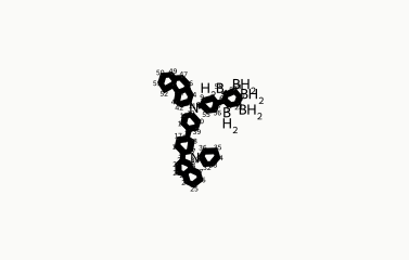 Bc1c(B)c(B)c(-c2ccc(N(c3ccc(-c4ccc5c6ccc7ccccc7c6n(-c6ccccc6)c5c4)cc3)c3ccc4c(ccc5ccccc54)c3)cc2)c(B)c1B